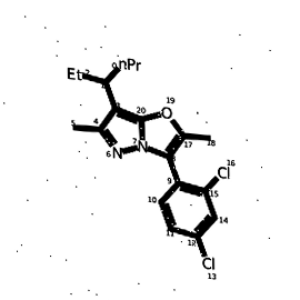 CCCC(CC)c1c(C)nn2c(-c3ccc(Cl)cc3Cl)c(C)oc12